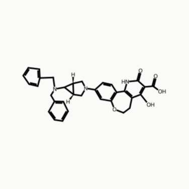 O=C(O)c1c(O)c2c([nH]c1=O)-c1ccc(N3C[C@@H]4C(N(Cc5ccccc5)Cc5ccccc5)[C@@H]4C3)cc1OCC2